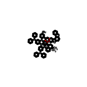 CC(C)(C)c1ccc(N2c3cc(N(c4ccccc4)c4ccccc4)ccc3B3c4ccc(N(c5ccccc5)c5ccccc5)cc4N(c4cccc5c4C(C)(C)CCC5(C)C)c4cc(-c5ccc6c(c5)oc5ccc7sc8ccccc8c7c56)cc2c43)c(-c2ccccc2)c1